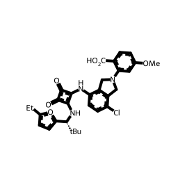 CCc1ccc([C@H](Nc2c(Nc3ccc(Cl)c4c3CN(c3cc(OC)ccc3C(=O)O)C4)c(=O)c2=O)C(C)(C)C)o1